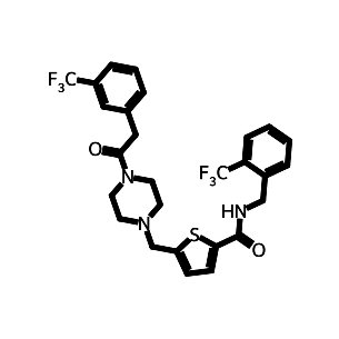 O=C(NCc1ccccc1C(F)(F)F)c1ccc(CN2CCN(C(=O)Cc3cccc(C(F)(F)F)c3)CC2)s1